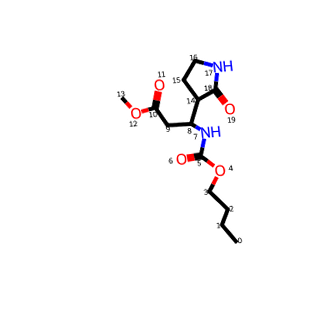 CCCCOC(=O)NC(CC(=O)OC)C1CCNC1=O